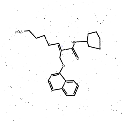 O=C(O)CCCC/C=C(\COc1cccc2ccccc12)C(=O)NC1CCCCC1